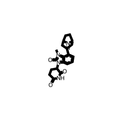 Cn1c(=O)n(C2CCC(=O)NC2=O)c2cccc(C3CC4CCC(C3)N4)c21